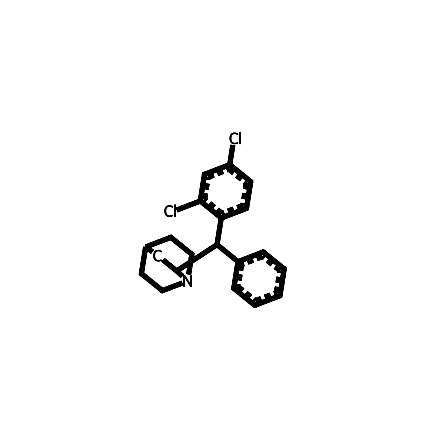 Clc1ccc(C(c2ccccc2)C2CC3CCN2CC3)c(Cl)c1